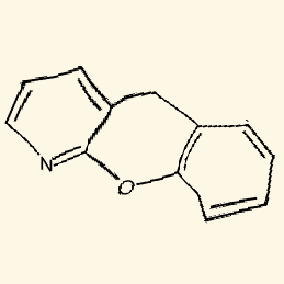 [c]1cccc2c1Cc1cccnc1O2